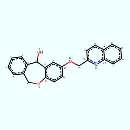 OC1c2ccccc2COc2ccc(OCc3ccc4ccccc4n3)cc21